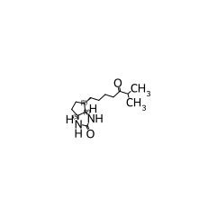 CC(C)C(=O)CCCC[C@@H]1CC[C@@H]2NC(=O)N[C@H]12